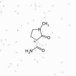 CN1CC[C@@H](C(N)=O)C1=O